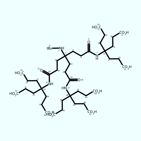 CC(C)(C)NC(CCC(=O)NC(CCC(=O)O)(CCC(=O)O)CCC(=O)O)(CCC(=O)NC(CCC(=O)O)(CCC(=O)O)CCC(=O)O)CCC(=O)NC(CCC(=O)O)(CCC(=O)O)CCC(=O)O